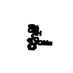 COC(=O)c1ccccc1N(C)CCNC(=O)OC(C)(C)C